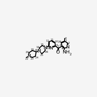 Cc1cnc(N)c(C(=O)c2cccc(N3CCN(C4CCN(C)CC4)CC3)n2)c1